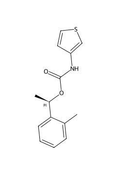 Cc1ccccc1[C@@H](C)OC(=O)Nc1ccsc1